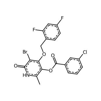 Cc1[nH]c(=O)c(Br)c(OCc2ccc(F)cc2F)c1OC(=O)c1cccc(Cl)c1